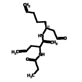 C=CCCC[C@@H](CC=O)NC(=C)C(CC=C)NC(=O)CC